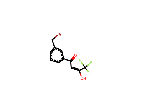 O=C(/C=C(/O)C(F)(F)F)c1cccc(CBr)c1